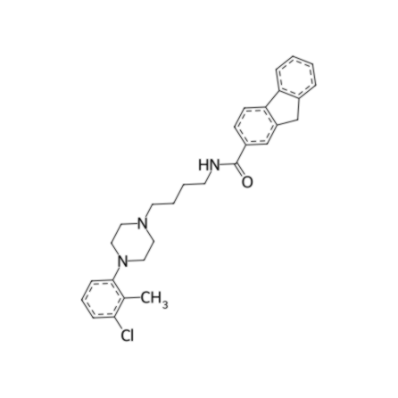 Cc1c(Cl)cccc1N1CCN(CCCCNC(=O)c2ccc3c(c2)Cc2ccccc2-3)CC1